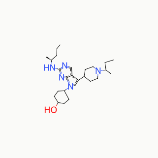 CCC[C@H](C)Nc1ncc2c(C3CCN(C(C)CC)CC3)cn(C3CCC(O)CC3)c2n1